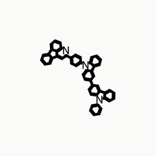 c1ccc(-n2c3ccccc3c3cc(-c4ccc5c(c4)c4ccccc4n5-c4ccc(-c5cc6c7c(cccc7n5)-c5ccccc5-6)cc4)ccc32)cc1